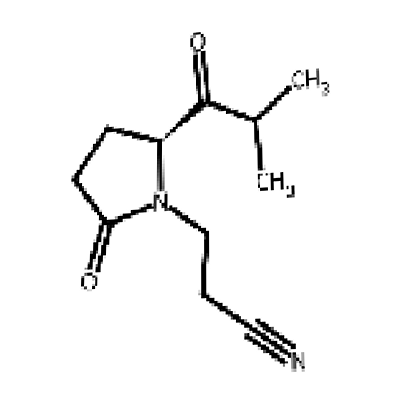 CC(C)C(=O)[C@@H]1CCC(=O)N1CCC#N